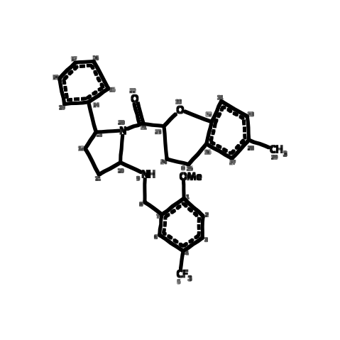 COc1ccc(C(F)(F)F)cc1CNC1CCC(c2ccccc2)N1C(=O)C1CCc2cc(C)ccc2O1